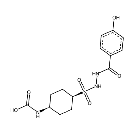 O=C(O)N[C@H]1CC[C@@H](S(=O)(=O)NNC(=O)c2ccc(O)cc2)CC1